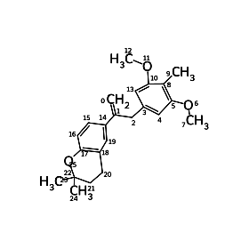 C=C(Cc1cc(OC)c(C)c(OC)c1)c1ccc2c(c1)CCC(C)(C)O2